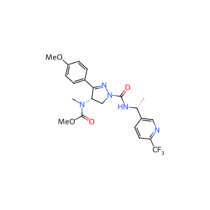 COC(=O)N(C)[C@H]1CN(C(=O)N[C@H](C)c2ccc(C(F)(F)F)nc2)N=C1c1ccc(OC)cc1